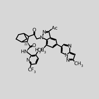 CC(=O)c1nn(CC(=O)C2C3CCC(C3)[C@@H]2C(=O)Nc2nc(C(F)(F)F)ccc2C)c2c(C)cc(-c3cnc4cc(C)nn4c3)cc12